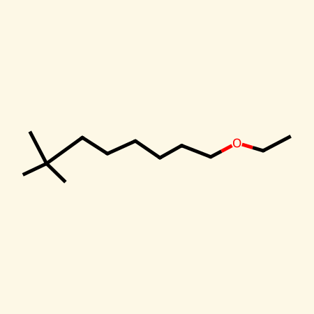 CCOCCCCCCC(C)(C)C